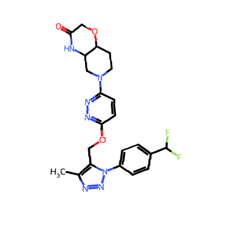 Cc1nnn(-c2ccc(C(F)F)cc2)c1COc1ccc(N2CCC3OCC(=O)NC3C2)nn1